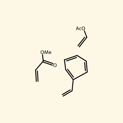 C=CC(=O)OC.C=COC(C)=O.C=Cc1ccccc1